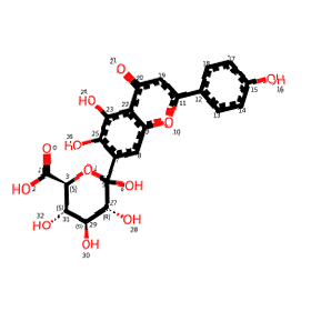 O=C(O)[C@H]1OC(O)(c2cc3oc(-c4ccc(O)cc4)cc(=O)c3c(O)c2O)[C@H](O)[C@@H](O)[C@@H]1O